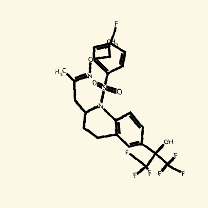 CCON=C(C)CC1CCc2cc(C(O)(C(F)(F)F)C(F)(F)F)ccc2N1S(=O)(=O)c1ccc(F)cc1